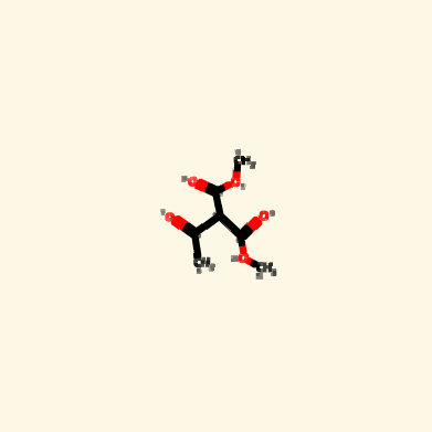 COC(=O)C(C(C)=O)C(=O)OC